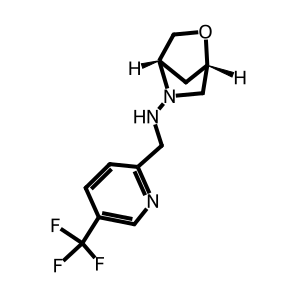 FC(F)(F)c1ccc(CNN2C[C@@H]3C[C@H]2CO3)nc1